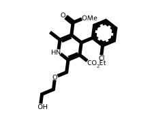 CCOC(=O)C1=C(COCCO)NC(C)=C(C(=O)OC)C1c1ccccc1Cl